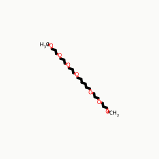 COCCCOCCCOCCC[CH]CCOCCCOCCCOCCCOC